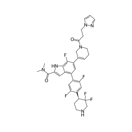 CN(C)C(=O)c1cc2c(-c3cc(F)c([C@@H]4CCNCC4(F)F)cc3F)cc(C3=CCCN(C(=O)CCn4cccn4)C3)c(F)c2[nH]1